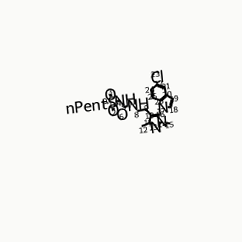 CCCCCS(=O)(=O)NC(=O)NCCc1c(C)nn(C)c1-n1ccc2cc(Cl)ccc21